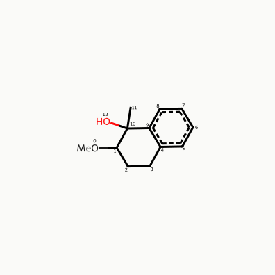 COC1CCc2ccccc2C1(C)O